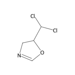 ClC(Cl)C1CN=CO1